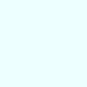 O=C1OCCCO1.c1ccc2c(c1)Cc1ccccc1-2